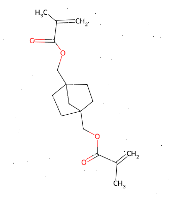 C=C(C)C(=O)OCC12CCC(COC(=O)C(=C)C)(CC1)C2